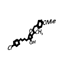 COc1ccc(CC2Oc3cc(CCCCc4ccc(Cl)cc4)c(O)cc3C2C)cc1